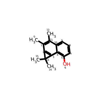 Cc1c2c(c3c(O)cccc3c1C)C2(C)C